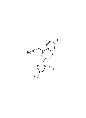 C#CCN1CC(c2ccc(C(F)(F)F)cc2C(F)(F)F)CCc2cc(F)ccc21